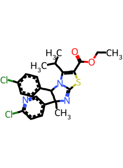 CCOC(=O)C1=C(C(C)C)N2C(=NC(C)(c3ccc(Cl)nc3)C2c2ccc(Cl)cc2)S1